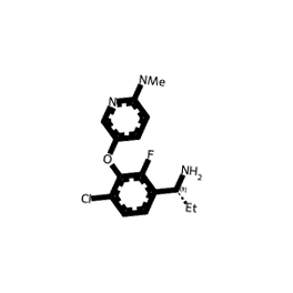 CC[C@@H](N)c1ccc(Cl)c(Oc2ccc(NC)nc2)c1F